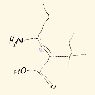 CC/C(N)=C(/C(=O)O)C(C)(C)C